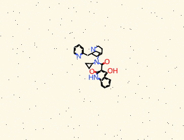 O=C(c1c(O)c2ccccc2[nH]c1=O)N(C1CC1)C1C2CCN(CC2)C1Cc1ccccn1